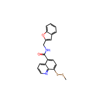 CSSc1ccc(C(=O)NCc2cc3ccccc3o2)c2cccnc12